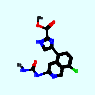 CCNC(=O)Nc1cc2c(-c3c[nH]c(C(=O)OC(C)(C)C)n3)ccc(Cl)c2cn1